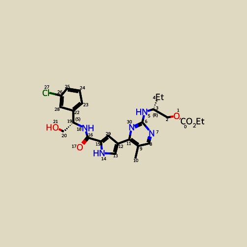 CCOC(=O)OC[C@@H](CC)Nc1ncc(C)c(-c2c[nH]c(C(=O)N[C@H](CO)c3cccc(Cl)c3)c2)n1